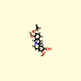 COc1cc2c(cc1O)[C@@H]1Cc3ccc(OC4CC4)c(OC)c3CN1CC2